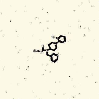 CC(C)(C)OC(=O)N(Cc1ccccc1)C1CCC(c2ccccc2C#N)CC1